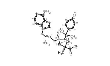 C[C@H](Cn1cnc2c(N)ncnc21)OCP(=O)(NC(C)(C)C(=O)O)NC(C)(C)c1ccc(Cl)cc1